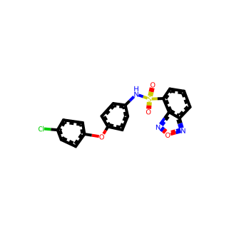 O=S(=O)(Nc1ccc(Oc2ccc(Cl)cc2)cc1)c1cccc2nonc12